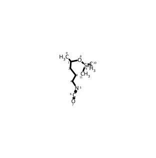 CC(CCCN=C=O)O[SiH](C)C